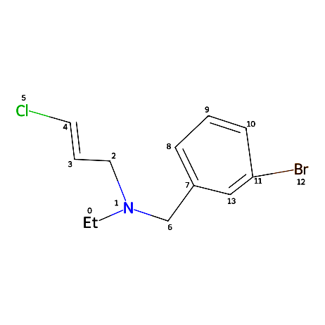 CCN(C/C=C/Cl)Cc1cccc(Br)c1